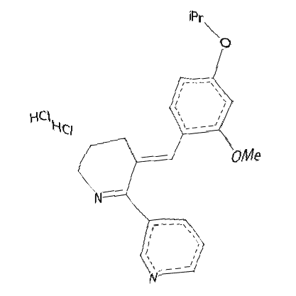 COc1cc(OC(C)C)ccc1C=C1CCCN=C1c1cccnc1.Cl.Cl